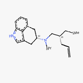 C=CC[C@@H](CSC)CN(CCC)[C@H]1Cc2cccc3[nH]cc(c23)C1